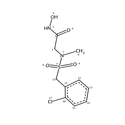 CN(CC(=O)NO)S(=O)(=O)Cc1ccccc1Cl